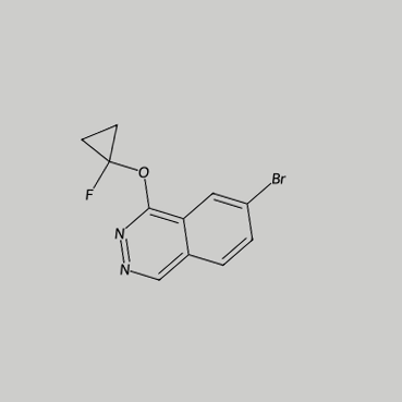 FC1(Oc2nncc3ccc(Br)cc23)CC1